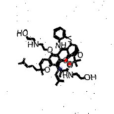 CC(C)=CCCC1(C)C=Cc2c(c(CC=C(C)C)c3c(c2OCCNCCO)C2=C4C(Sc5ccccc5N2)C2CC5C(C)(C)OC(C/C=C(/C)C(=O)NCCO)(C2=O)C45O3)O1